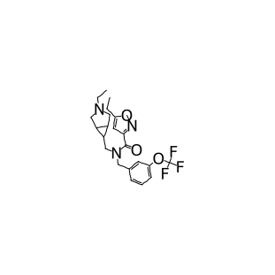 CCc1cc(C(=O)N(Cc2cccc(OC(F)(F)F)c2)CC2C3CN(CC)CC32)no1